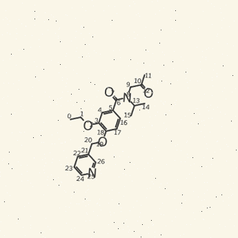 CCOc1cc(C(=O)N(CC(C)=O)C(C)C)ccc1OCc1cccnc1